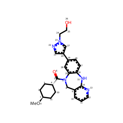 CO[C@H]1CC[C@H](C(=O)N2Cc3cccnc3Nc3ccc(-c4cnn(CCO)c4)cc32)CC1